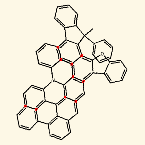 CC1(c2ccccc2)c2ccccc2-c2ccc(-c3ccccc3N(c3ccccc3-c3ccc4c(c3)oc3ccccc34)c3ccccc3-c3cccc4cccc(-c5ccccc5)c34)cc21